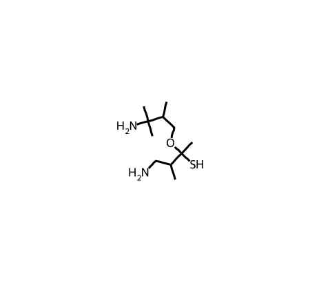 CC(COC(C)(S)C(C)CN)C(C)(C)N